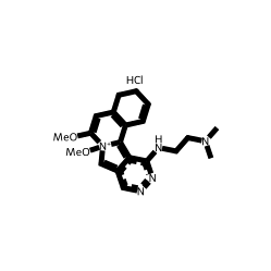 COC1=CC2=C(C=CCC2)C2=c3c(NCCN(C)C)nncc3=C[N+]12OC.Cl